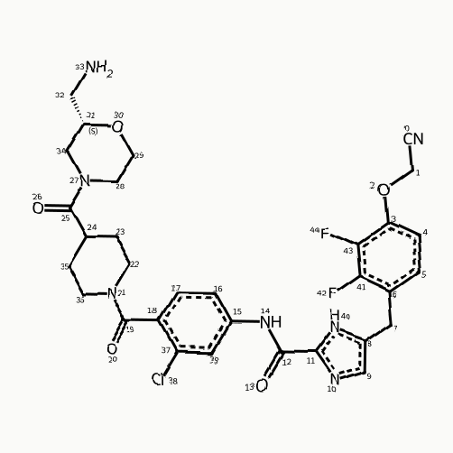 N#CCOc1ccc(Cc2cnc(C(=O)Nc3ccc(C(=O)N4CCC(C(=O)N5CCO[C@@H](CN)C5)CC4)c(Cl)c3)[nH]2)c(F)c1F